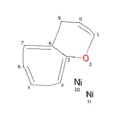 C1=COc2ccccc2C1.[Ni].[Ni]